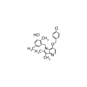 Cc1ccc(C)c(Cn2c(C)c(C)c3nccc(OCc4ccc(Cl)cc4)c32)c1.Cl